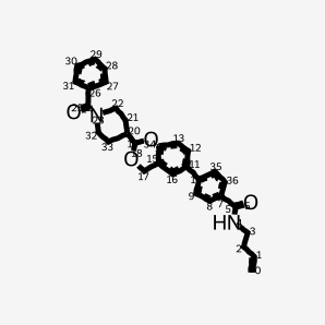 C=CCCNC(=O)c1ccc(-c2ccc3c(c2)COC(C2CCN(C(=O)c4ccccc4)CC2)O3)cc1